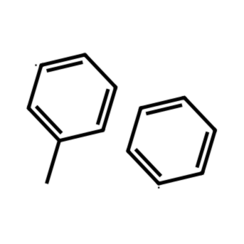 Cc1c[c]ccc1.[c]1ccccc1